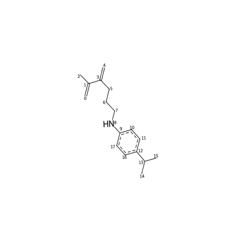 C=C(C)C(=C)CCCNc1ccc(C(C)C)cc1